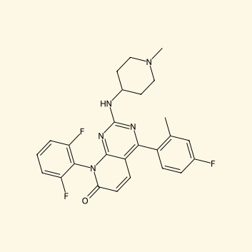 Cc1cc(F)ccc1-c1nc(NC2CCN(C)CC2)nc2c1ccc(=O)n2-c1c(F)cccc1F